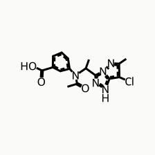 CC(=O)N(c1cccc(C(=O)O)c1)C(C)c1n[nH]c2c(Cl)c(C)nn12